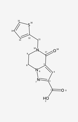 O=C(O)c1cc2n(n1)CCN(Cc1cccs1)C2=O